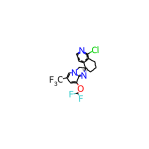 FC(F)OC1=CC(C(F)(F)F)=CN2C[C@@]3(CCCc4c3ccnc4Cl)N=C12